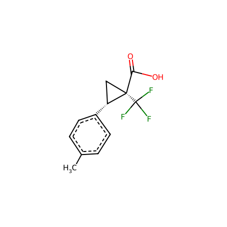 Cc1ccc([C@@H]2C[C@]2(C(=O)O)C(F)(F)F)cc1